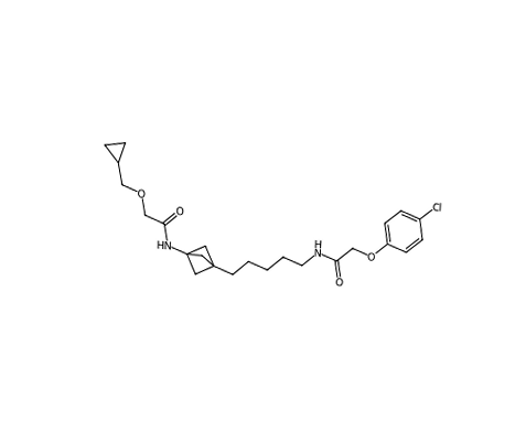 O=C(COc1ccc(Cl)cc1)NCCCCCC12CC(NC(=O)COCC3CC3)(C1)C2